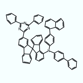 c1ccc(-c2ccc(N(c3ccc(-c4cccc5ccccc45)cc3)c3cccc4c3-c3ccccc3C43c4ccccc4-c4ccc(-c5nc(-c6ccccc6)nc(-c6ccccc6)n5)cc43)cc2)cc1